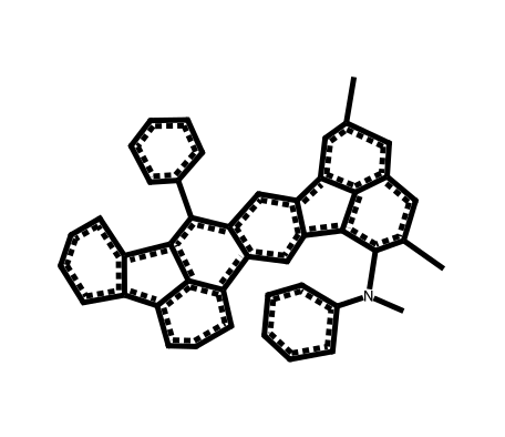 Cc1cc2cc(C)c(N(C)c3ccccc3)c3c4cc5c(cc4c(c1)c23)c(-c1ccccc1)c1c2ccccc2c2cccc5c21